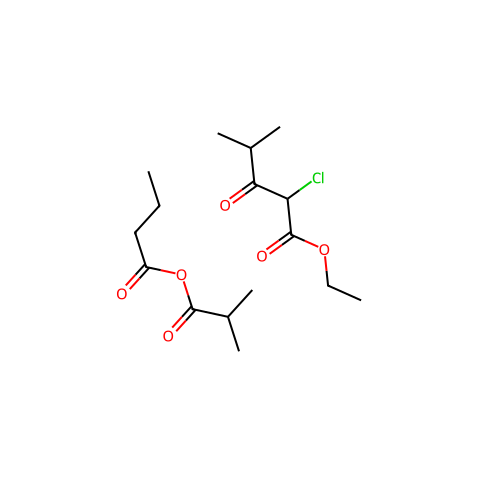 CCCC(=O)OC(=O)C(C)C.CCOC(=O)C(Cl)C(=O)C(C)C